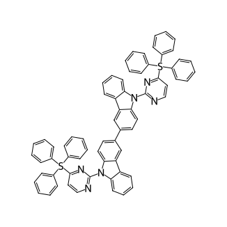 c1ccc(S(c2ccccc2)(c2ccccc2)c2ccnc(-n3c4ccccc4c4cc(-c5ccc6c(c5)c5ccccc5n6-c5nccc(S(c6ccccc6)(c6ccccc6)c6ccccc6)n5)ccc43)n2)cc1